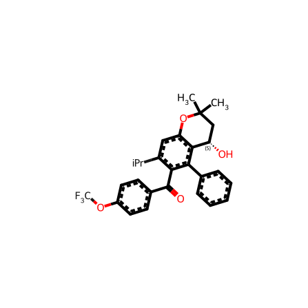 CC(C)c1cc2c(c(-c3ccccc3)c1C(=O)c1ccc(OC(F)(F)F)cc1)[C@@H](O)CC(C)(C)O2